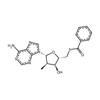 C[C@@H]1[C@H](O)[C@@H](CSC(=O)c2ccccc2)O[C@H]1n1cnc2c(N)ncnc21